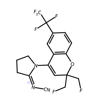 N#C/N=C1/CCCN1C1=CC(CF)(CF)Oc2ccc(C(F)(F)C(F)(F)F)cc21